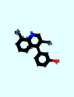 Oc1cccc(-c2c(C(F)(F)F)cnc3c(C(F)(F)F)cccc23)c1